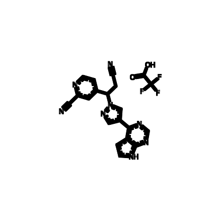 N#CCC(c1ccnc(C#N)c1)n1cc(-c2ncnc3[nH]ccc23)cn1.O=C(O)C(F)(F)F